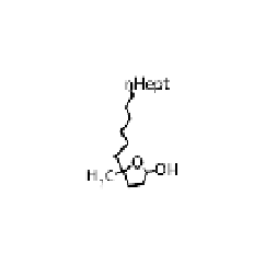 CCCCCCCCCCCCCC1(C)CCC(O)O1